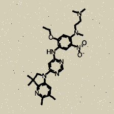 CCOc1cc(N(C)CCN(C)C)c([N+](=O)[O-])cc1Nc1cc(N2CC(C)(C)c3nc(C)c(C)cc32)ncn1